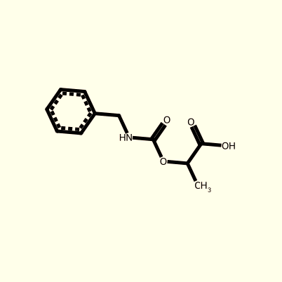 CC(OC(=O)NCc1ccccc1)C(=O)O